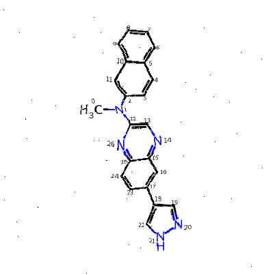 CN(c1ccc2ccccc2c1)c1cnc2cc(-c3cn[nH]c3)ccc2n1